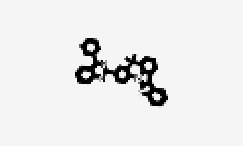 CC1(C)c2cc(-c3nc(-c4ccccc4)c4ccccc4n3)ccc2-n2c3sc4ccccc4c3c3cccc1c32